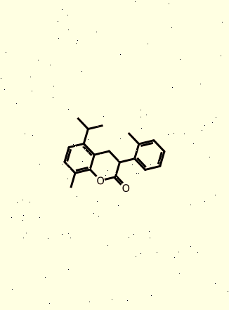 Cc1ccccc1C1Cc2c(C(C)C)ccc(C)c2OC1=O